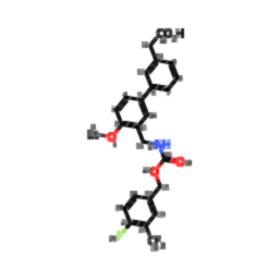 CCOc1ccc(-c2cccc(CC(=O)O)c2)cc1CNC(=O)OCc1ccc(F)c(C(F)(F)F)c1